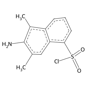 Cc1cc2c(S(=O)(=O)Cl)cccc2c(C)c1N